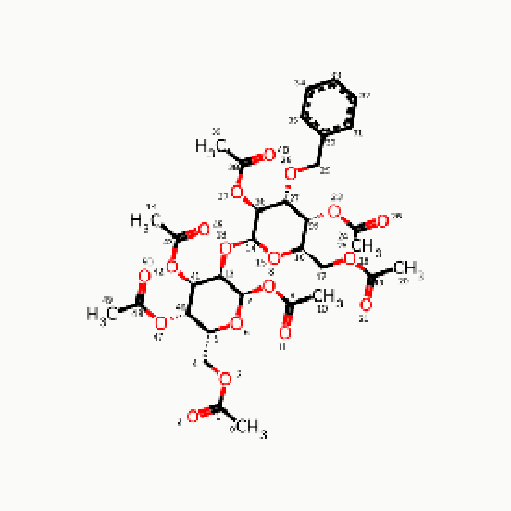 CC(=O)OC[C@H]1O[C@H](OC(C)=O)[C@H](O[C@@H]2O[C@H](COC(C)=O)[C@@H](OC(C)=O)[C@@H](OCc3ccccc3)[C@@H]2OC(C)=O)[C@H](OC(C)=O)[C@H]1OC(C)=O